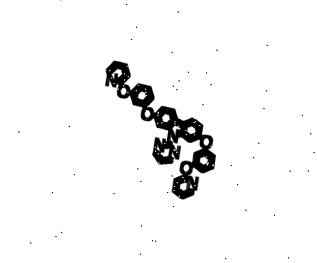 c1ccc(Oc2cccc(Oc3ccc4c5ccc(Oc6cccc(Oc7ccccn7)c6)cc5n(-c5ncccn5)c4c3)c2)nc1